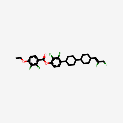 CCOc1ccc(C(=O)Oc2ccc(C3CCC(C4CCC(/C=C(\F)CF)CC4)CC3)c(F)c2F)c(F)c1F